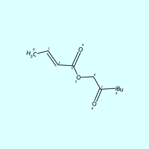 C/C=C/C(=O)OCC(=O)C(C)CC